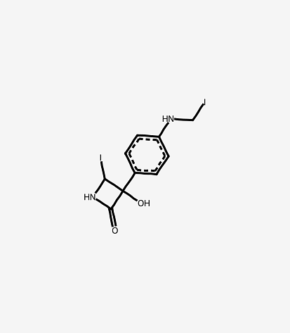 O=C1NC(I)C1(O)c1ccc(NCI)cc1